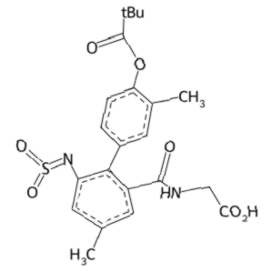 Cc1cc(N=S(=O)=O)c(-c2ccc(OC(=O)C(C)(C)C)c(C)c2)c(C(=O)NCC(=O)O)c1